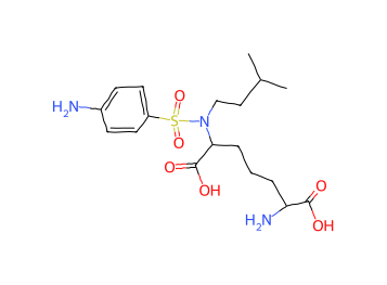 CC(C)CCN(C(CCCC(N)C(=O)O)C(=O)O)S(=O)(=O)c1ccc(N)cc1